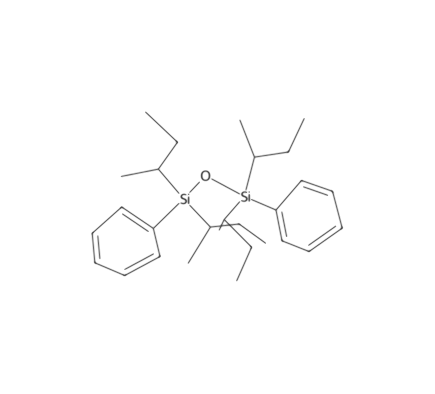 CCC(C)[Si](O[Si](c1ccccc1)(C(C)CC)C(C)CC)(c1ccccc1)C(C)CC